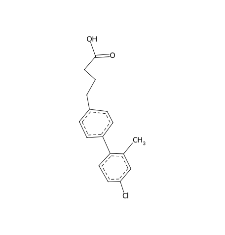 Cc1cc(Cl)ccc1-c1ccc(CCCC(=O)O)cc1